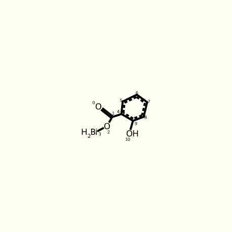 O=C([O][BiH2])c1ccccc1O